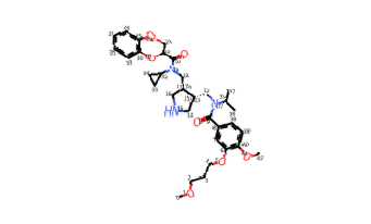 COCCCOc1cc(C(=O)N(C[C@@H]2CNC[C@H]2CN(C(=O)C2COc3ccccc3O2)C2CC2)C(C)C)ccc1OC